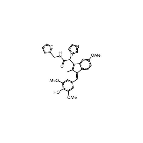 COc1ccc2c(c1)C(C(C(=O)NCc1ccco1)n1ccnc1)=C(C)C2=Cc1cc(OC)c(O)c(OC)c1